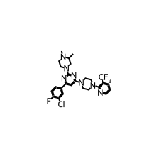 CC1CN(c2nc(-c3ccc(F)c(Cl)c3)cc(N3CCN(c4ncccc4C(F)(F)F)CC3)n2)CCN1C